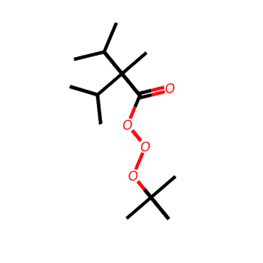 CC(C)C(C)(C(=O)OOOC(C)(C)C)C(C)C